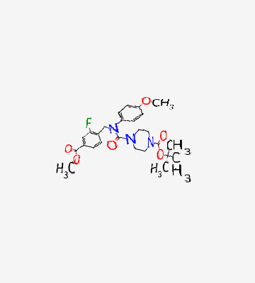 COC(=O)c1ccc(CN(C(=O)N2CCN(C(=O)OC(C)(C)C)CC2)c2ccc(OC)cc2)c(F)c1